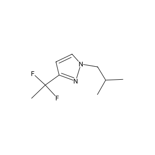 CC(C)Cn1ccc(C(C)(F)F)n1